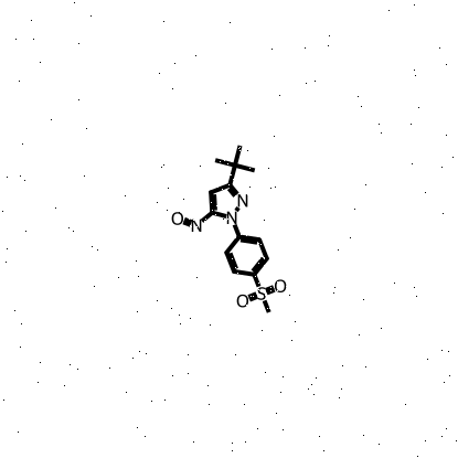 CC(C)(C)c1cc(N=O)n(-c2ccc(S(C)(=O)=O)cc2)n1